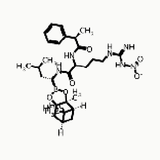 CC(C)C[C@H](NC(=O)[C@H](CCCNC(=N)N[N+](=O)[O-])NC(=O)[C@H](C)c1ccccc1)B1O[C@@H]2C[C@@H]3C[C@@H](C3(C)C)[C@]2(C)O1